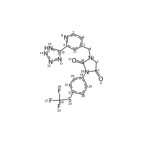 O=C1CN(Cc2ccnc(-c3nnn[nH]3)c2)C(=O)N1c1ccc(SC(F)(F)F)cc1